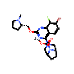 CN1CCC[C@H]1COc1nc(N2CC3CCC(C2)N3C(=O)OC(C)(C)C)c2ccc(Br)c(F)c2n1